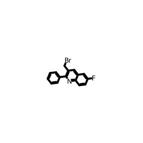 Fc1ccc2nc(-c3ccccc3)c(CBr)cc2c1